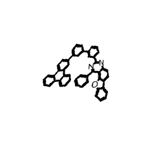 c1ccc(-c2nc(-c3cccc(-c4cccc(-c5ccc6c7ccccc7c7ccccc7c6c5)c4)c3)nc3ccc4c5ccccc5oc4c23)cc1